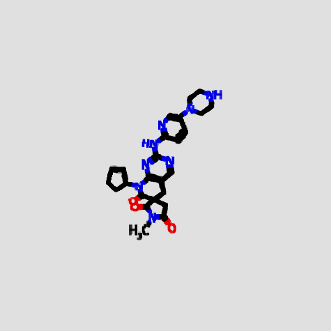 CN1C(=O)CC2(Cc3cnc(Nc4ccc(N5CCNCC5)cn4)nc3N(C3CCCC3)C2=O)C1=O